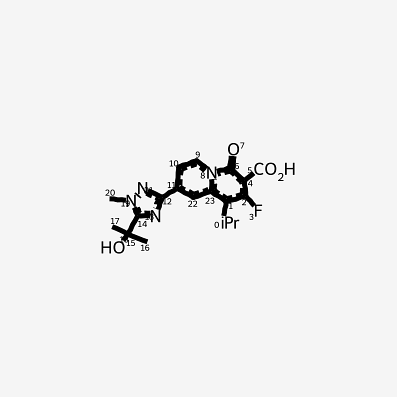 CC(C)c1c(F)c(C(=O)O)c(=O)n2ccc(-c3nc(C(C)(C)O)n(C)n3)cc12